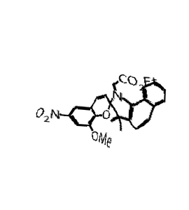 CCOC(=O)CN1c2c(ccc3ccccc23)C(C)(C)C12C=Cc1cc([N+](=O)[O-])cc(OC)c1O2